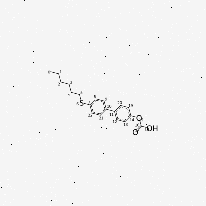 CCCCCCSc1ccc(-c2ccc(OC(=O)O)cc2)cc1